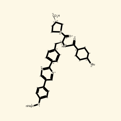 CCCCCCCOc1ccc(-c2cnc(-c3ccc(C[C@H](NC(=O)C4CCC(C(C)(C)C)CC4)C(=O)N4CC[C@H](C(=O)O)C4)cc3)nc2)cc1